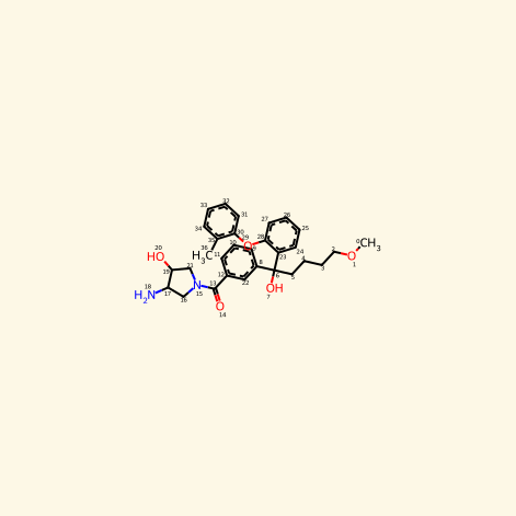 COCCCCC(O)(c1cccc(C(=O)N2CC(N)C(O)C2)c1)c1ccccc1Oc1ccccc1C